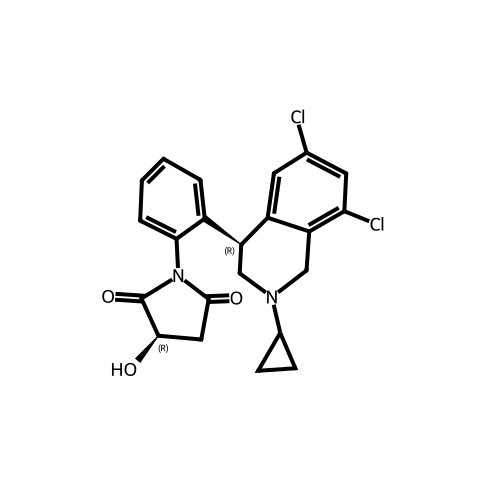 O=C1C[C@@H](O)C(=O)N1c1ccccc1[C@@H]1CN(C2CC2)Cc2c(Cl)cc(Cl)cc21